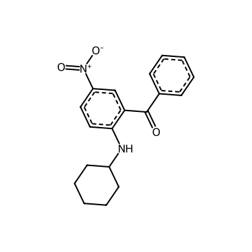 O=C(c1ccccc1)c1cc([N+](=O)[O-])ccc1NC1CCCCC1